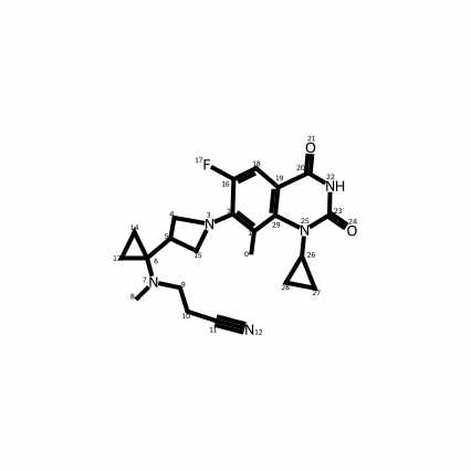 Cc1c(N2CC(C3(N(C)CCC#N)CC3)C2)c(F)cc2c(=O)[nH]c(=O)n(C3CC3)c12